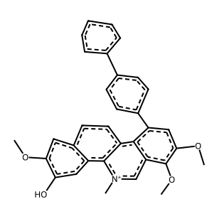 COc1cc2ccc3c4c(-c5ccc(-c6ccccc6)cc5)cc(OC)c(OC)c4c[n+](C)c3c2cc1O